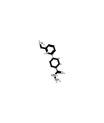 CCc1cccc([C@H]2CC[C@H](C(=O)NN)CC2)n1